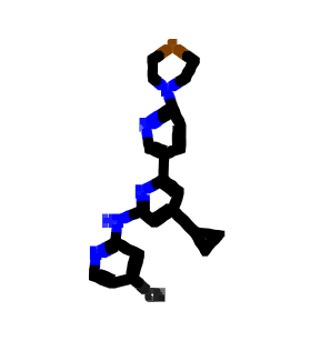 N#Cc1ccnc(Nc2cc(C3CC3)cc(-c3ccc(N4CCSCC4)nc3)n2)c1